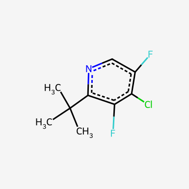 CC(C)(C)c1ncc(F)c(Cl)c1F